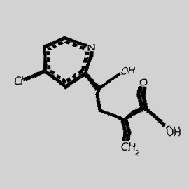 C=C(CC(O)c1cc(Cl)ccn1)C(=O)O